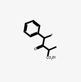 CCOC(=O)C(C)C(=O)C(F)c1ccccc1